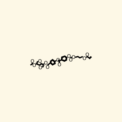 C=CC(=O)OCCCCOC(=O)Oc1ccc(C(=O)Oc2ccc(C(=O)O[C@H]3COC4C3OC[C@@H]4OC(C)=O)cc2)cc1